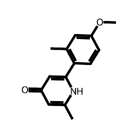 COc1ccc(-c2cc(=O)cc(C)[nH]2)c(C)c1